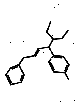 CCC(CC)C(/C=C/Cc1ccccc1)c1ccc(C)cc1